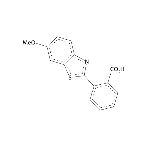 COc1ccc2nc(-c3ccccc3C(=O)O)sc2c1